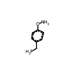 NOc1ccc(CP)cc1